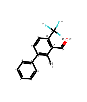 [2H]c1c(-c2ccccc2)ccc(C(F)(F)F)c1C=O